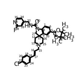 CC1(C)OB(c2ccc3c(c2)C2(CCN(C/C=C/c4ccc(Cl)cc4)CC2)CN3C(=O)NCc2ccnc(F)c2)OC1(C)C